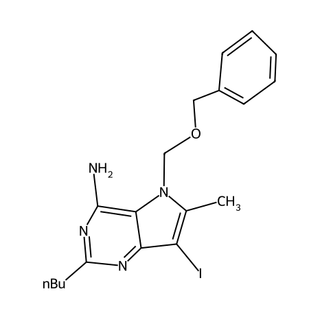 CCCCc1nc(N)c2c(n1)c(I)c(C)n2COCc1ccccc1